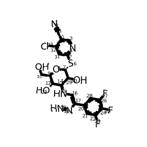 N#Cc1cnc(S[C@H]2OC(CO)[C@H](O)C(N/C=C(\N=N)c3cc(F)c(F)c(F)c3)C2O)cc1Cl